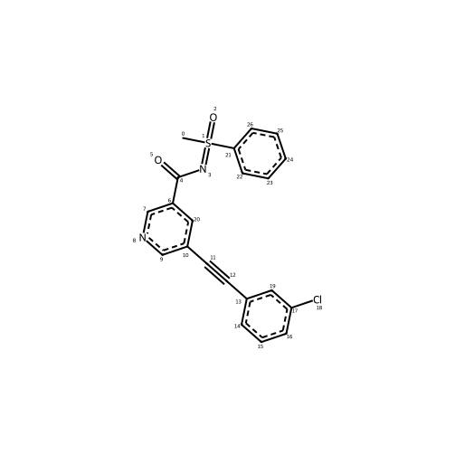 CS(=O)(=NC(=O)c1cncc(C#Cc2cccc(Cl)c2)c1)c1ccccc1